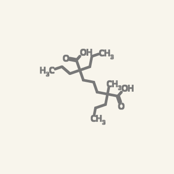 CCCC(C)(CCCC(CCC)(CCC)C(=O)O)C(=O)O